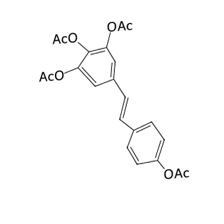 CC(=O)Oc1ccc(/C=C/c2cc(OC(C)=O)c(OC(C)=O)c(OC(C)=O)c2)cc1